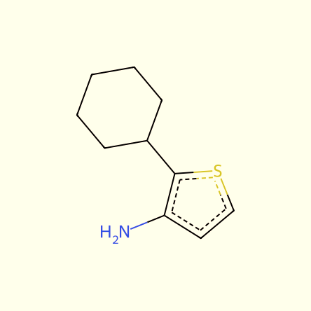 Nc1ccsc1C1CCCCC1